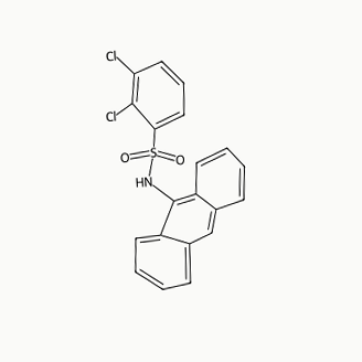 O=S(=O)(Nc1c2ccccc2cc2ccccc12)c1cccc(Cl)c1Cl